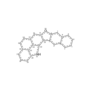 c1ccc2cc3c(cc2c1)oc1cc2ccc4cccc5[nH]c(c13)c2c45